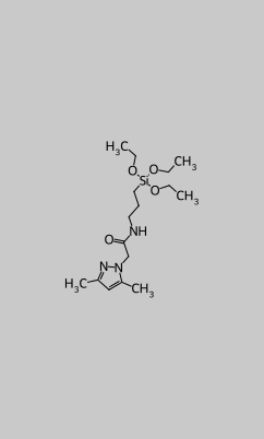 CCO[Si](CCCNC(=O)Cn1nc(C)cc1C)(OCC)OCC